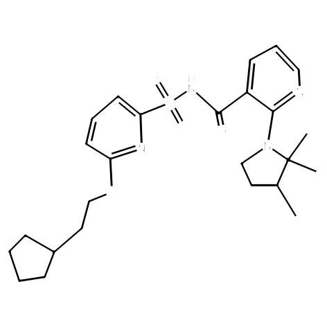 CC1CCN(c2ncccc2C(=O)NS(=O)(=O)c2cccc(OCCC3CCCC3)n2)C1(C)C